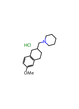 COc1ccc2c(c1)CCC(CN1CCCCC1)C2.Cl